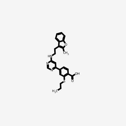 CCCSc1cc(-c2cc(NCCc3c(C)oc4ccccc34)ncn2)ccc1C(=O)O